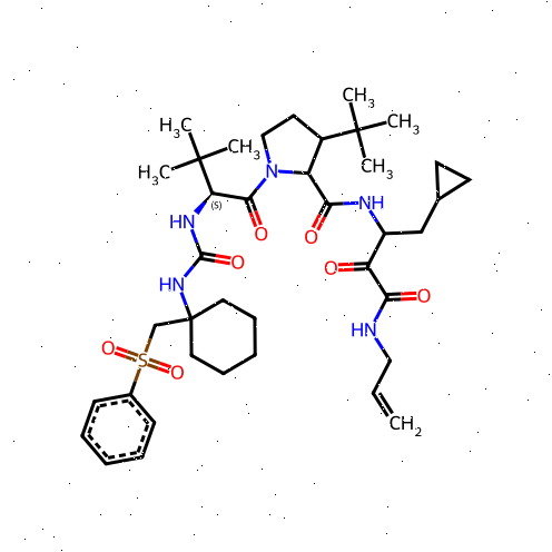 C=CCNC(=O)C(=O)C(CC1CC1)NC(=O)C1C(C(C)(C)C)CCN1C(=O)[C@@H](NC(=O)NC1(CS(=O)(=O)c2ccccc2)CCCCC1)C(C)(C)C